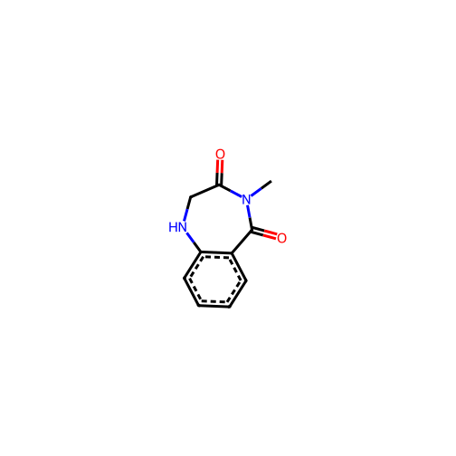 CN1C(=O)CNc2ccccc2C1=O